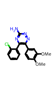 COc1ccc(-c2nnc(N)nc2-c2ccccc2Cl)cc1OC